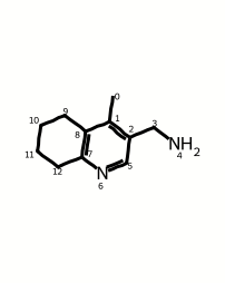 Cc1c(CN)cnc2c1CCCC2